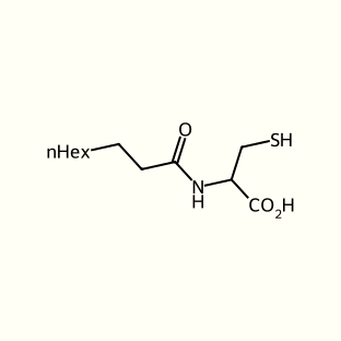 CCCCCCCCC(=O)NC(CS)C(=O)O